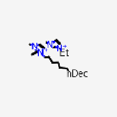 CCCCCCCCCCCCCCCC[n+]1ccn(C)c1C.CC[n+]1ccn(C)c1